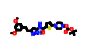 COc1cc(CCc2cc(NC(=O)c3ccc(N4CCN(OC(=O)OC(C)(C)C)CC4)s3)[nH]n2)cc(OC)c1